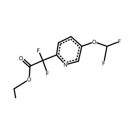 CCOC(=O)C(F)(F)c1ccc(OC(F)F)cn1